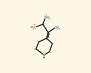 CC(=C1CCNCC1)C(C)C